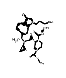 COCCCn1cc(Cl)c2ccc([C@@H](C)N(C(=O)[C@H]3CN(C(=O)OC(C)(C)C)CCN3C(=O)OC(C)(C)C)C3CC3)cc21